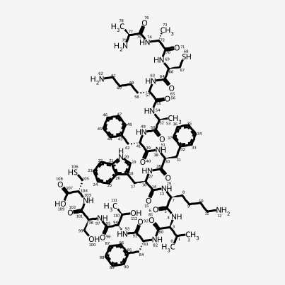 CC(C)[C@H](NC(=O)[C@H](CCCCN)NC(=O)[C@@H](Cc1c[nH]c2ccccc12)NC(=O)[C@H](Cc1ccccc1)NC(=O)[C@H](Cc1ccccc1)NC(=O)[C@H](C)NC(=O)[C@H](CCCCN)NC(=O)[C@H](CS)NC(=O)[C@@H](C)NC(=O)[C@H](C)N)C(=O)N[C@H](Cc1ccccc1)C(=O)N[C@H](C(=O)N[C@@H](CO)C(=O)N[C@@H](CS)C(=O)O)[C@@H](C)O